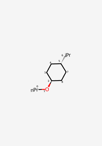 CCCO[C@H]1CC[C@H](C(C)C)CC1